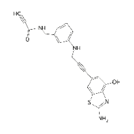 C#CC(=O)NCc1cccc(NCC#Cc2cc(O)c3nc(N)sc3c2)c1